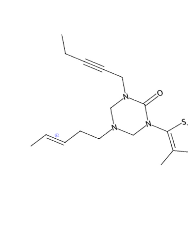 C/C=C/CCN1CN(CC#CCC)C(=O)N(c2snc(CC)c2C)C1